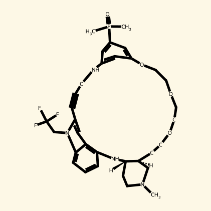 CN1CC[C@@H]2Nc3cccc4c3cc(n4CC(F)(F)F)C#CCNc3cc(cc(P(C)(C)=O)c3)OCCOCCOCC[C@H]2C1